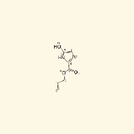 C=CCOC(=O)c1ncc(O)[nH]1